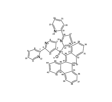 O=P(c1ccnc(-c2ccccn2)c1)(c1cccc(-c2ccccn2)n1)c1c2ccccc2cc2c3ccccc3c3ccccc3c12